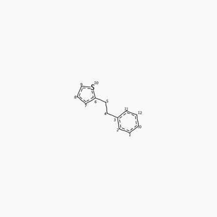 [c]1ccc(CCc2cccs2)cc1